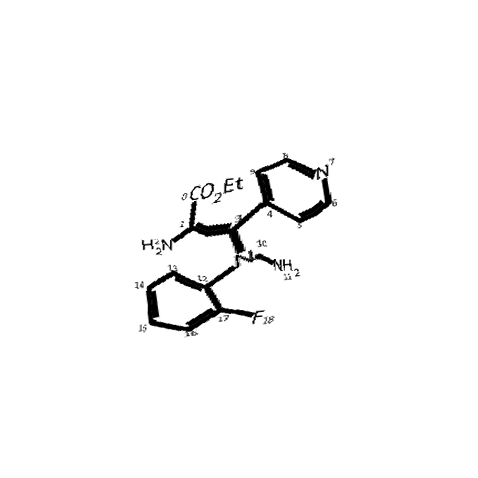 CCOC(=O)/C(N)=C(\c1ccncc1)N(N)c1ccccc1F